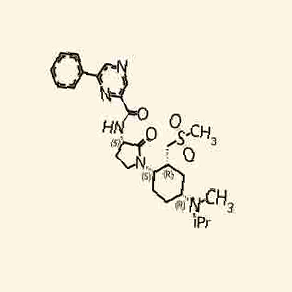 CC(C)N(C)[C@@H]1CC[C@H](N2CC[C@H](NC(=O)c3cncc(-c4ccccc4)n3)C2=O)[C@H](CS(C)(=O)=O)C1